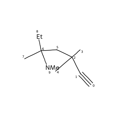 C#CC(C)(C)CC(C)(CC)NC